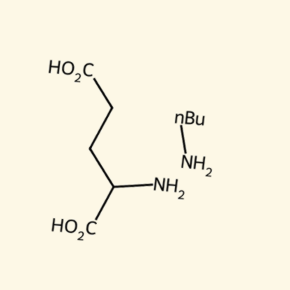 CCCCN.NC(CCC(=O)O)C(=O)O